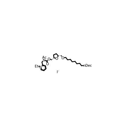 CCCCCCCCCCCCCCCCCCOC[C@H]1CC[C@@H](COC(=O)N(Cc2cccc[n+]2CC)C(C)=O)O1.[I-]